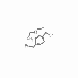 BrCc1ccc(CBr)cc1.CCOC=O